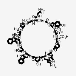 CCC/C=C1\C(=O)N[C@@H](C)C(=O)N[C@H](C(=O)NCC(N)=O)CSCC(=O)N[C@@H](Cc2ccc(O)cc2)C(=O)N(C)[C@@H](C)C(=O)N[C@@H](CC(=O)O)C(=O)N2CCC[C@H]2C(=O)N[C@@H](Cc2c[nH]cn2)C(=O)N[C@@H](CCCCN)C(=O)N2C[C@H](O)CC2C(=O)N[C@@H](Cc2c[nH]c3ccccc23)C(=O)NC(CO)C(=O)N[C@@H](Cc2c[nH]c3ccccc23)C(=O)N(C)[C@@H](CCCC)C(=O)N1C